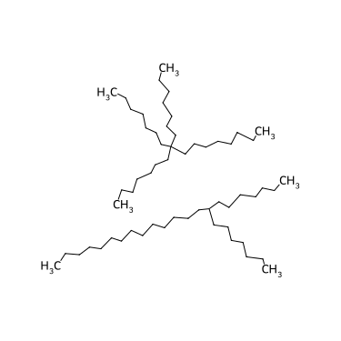 CCCCCCCCC(CCCCCCC)(CCCCCCC)CCCCCCC.CCCCCCCCCCCCCCC(CCCCCCC)CCCCCCC